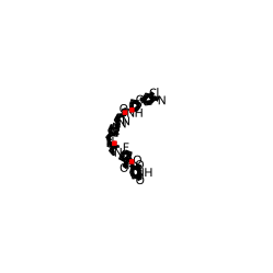 N#Cc1ccc(O[C@H]2CC[C@H](NC(=O)c3ccc(N4CCC(CN5CC6(CCN(c7cc8c(cc7F)C(=O)N(C7CCC(=O)NC7=O)C8=O)C6)C5)CC4)nn3)CC2)cc1Cl